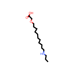 CCCNCCCCCCCCCCCOCC(=O)O